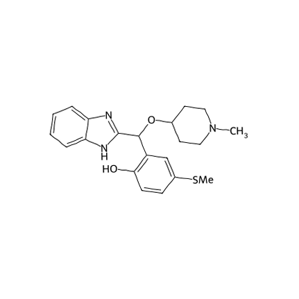 CSc1ccc(O)c(C(OC2CCN(C)CC2)c2nc3ccccc3[nH]2)c1